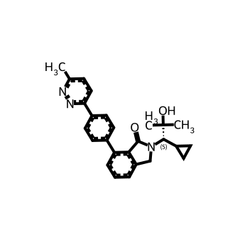 Cc1ccc(-c2ccc(-c3cccc4c3C(=O)N([C@@H](C3CC3)C(C)(C)O)C4)cc2)nn1